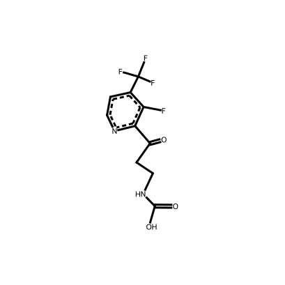 O=C(O)NCCC(=O)c1nccc(C(F)(F)F)c1F